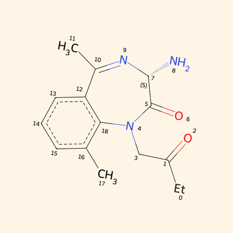 CCC(=O)CN1C(=O)[C@@H](N)N=C(C)c2cccc(C)c21